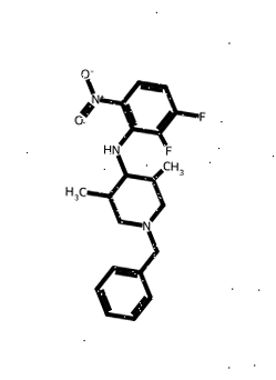 CC1CN(Cc2ccccc2)CC(C)C1Nc1c([N+](=O)[O-])ccc(F)c1F